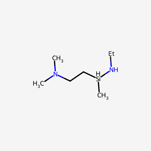 CCN[SiH](C)CCN(C)C